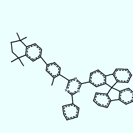 Cc1cc(-c2ccc3c(c2)C(C)(C)CCC3(C)C)ccc1-c1nc(-c2ccccc2)nc(-c2ccc3c(c2)C2(c4ccccc4-c4ccccc42)c2ccccc2-3)n1